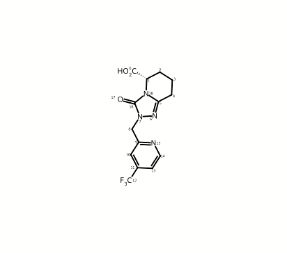 O=C(O)[C@@H]1CCCc2nn(Cc3cc(C(F)(F)F)ccn3)c(=O)n21